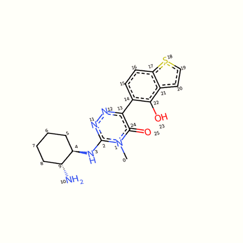 Cn1c(N[C@@H]2CCCC[C@H]2N)nnc(-c2ccc3sccc3c2O)c1=O